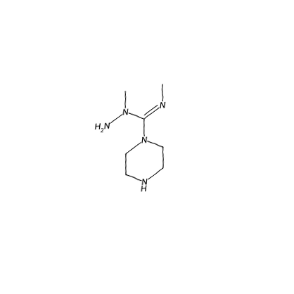 CN=C(N(C)N)N1CCNCC1